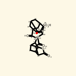 O=C1OC2C3CC(C2OC(=O)C24CC5CC(C2)C(=O)N(C5)C4)C(C(=O)OCCS(=O)(=O)O)C13